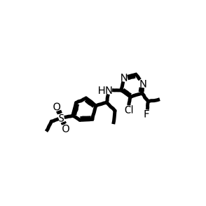 CCC(Nc1ncnc(C(C)F)c1Cl)c1ccc(S(=O)(=O)CC)cc1